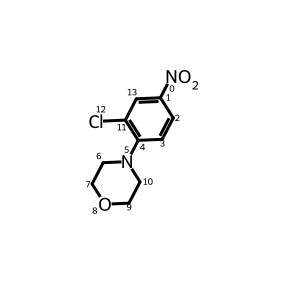 O=[N+]([O-])c1ccc(N2CCOCC2)c(Cl)c1